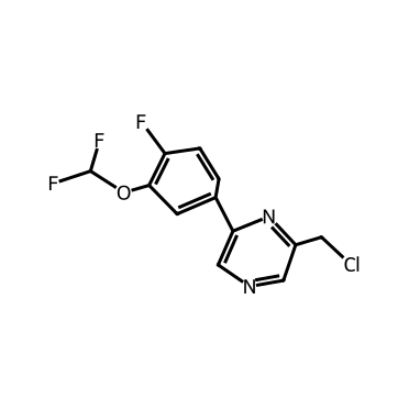 Fc1ccc(-c2cncc(CCl)n2)cc1OC(F)F